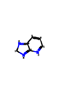 c1cnc2c(c1)=NCN=2